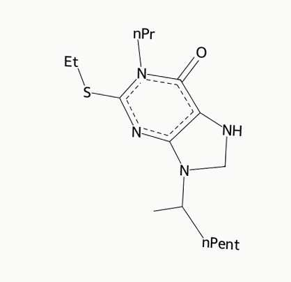 CCCCCC(C)N1CNc2c1nc(SCC)n(CCC)c2=O